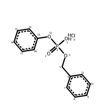 Cl.O=P(O)(OCc1ccccc1)Oc1ccccc1